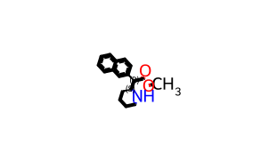 COC(=O)[C@H](c1ccc2ccccc2c1)[C@@H]1CCCCN1